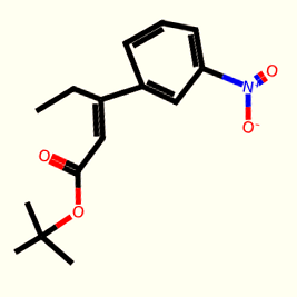 CCC(=CC(=O)OC(C)(C)C)c1cccc([N+](=O)[O-])c1